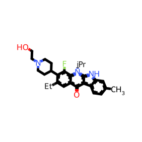 CCc1cc2c(=O)c3c4ccc(C)cc4[nH]c3n(C(C)C)c2c(F)c1C1CCN(CCO)CC1